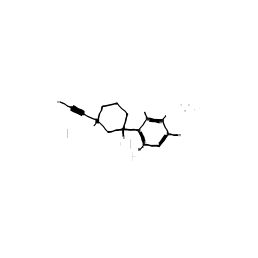 COc1c(F)cc(F)c(C2(C)CCCC(C)(C#CI)C2)c1F